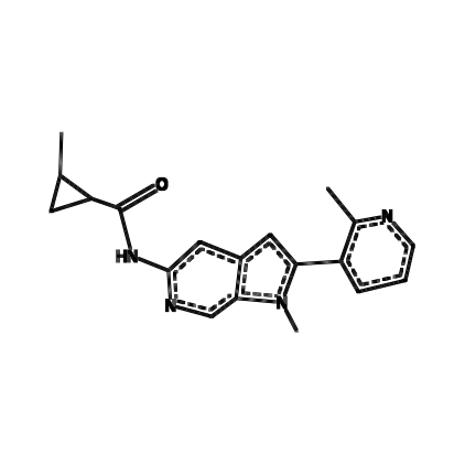 Cc1ncccc1-c1cc2cc(NC(=O)C3CC3C)ncc2n1C